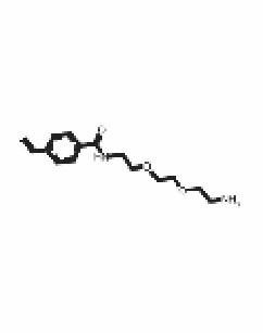 C=Cc1ccc(C(=O)NCCOCCOCCN)cc1